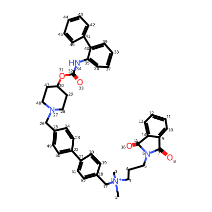 C[N+](C)(CCCN1C(=O)c2ccccc2C1=O)Cc1ccc(-c2ccc(CN3CCC(OC(=O)Nc4ccccc4-c4ccccc4)CC3)cc2)cc1